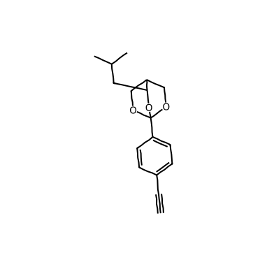 C#Cc1ccc(C23OCC(CO2)C(CC(C)C)O3)cc1